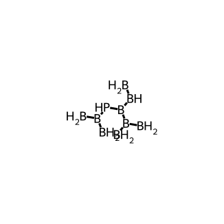 BBB(PB(B)B)B(B)B